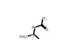 C[CH]OC(=O)[C@H](C)NC(=O)C(F)(F)F